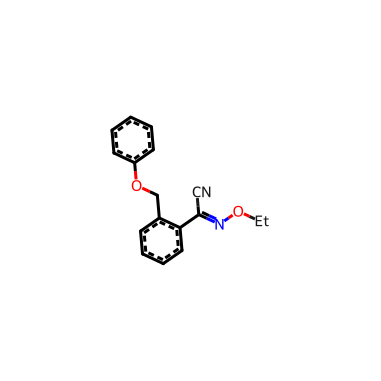 CCO/N=C(\C#N)c1ccccc1COc1ccccc1